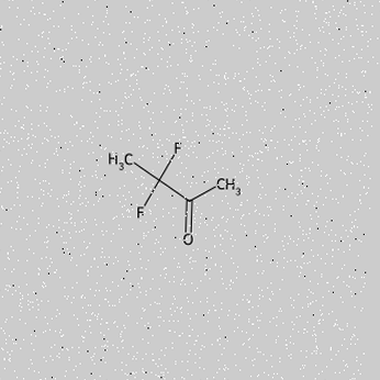 CC(=O)C(C)(F)F